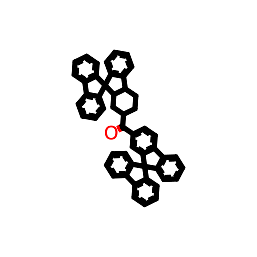 O=C(c1ccc2c(c1)C1(c3ccccc3-c3ccccc31)c1ccccc1-2)C1CCC2c3ccccc3C3(c4ccccc4-c4ccccc43)C2C1